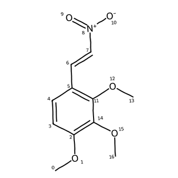 COc1ccc(C=C[N+](=O)[O-])c(OC)c1OC